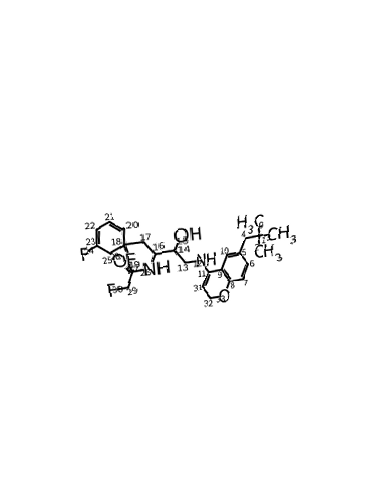 CC(C)(C)Cc1ccc2c(c1)C(NCC(O)C(CC1(F)C=CC=C(F)C1)NC(=O)CF)=CCO2